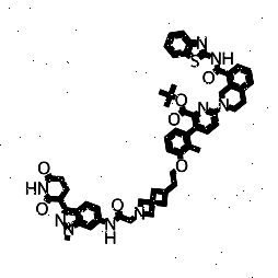 Cc1c(OCCC2CC3(C2)CN(CC(=O)Nc2ccc4c(C5CCC(=O)NC5=O)nn(C)c4c2)C3)cccc1-c1ccc(N2CCc3cccc(C(=O)Nc4nc5ccccc5s4)c3C2)nc1C(=O)OC(C)(C)C